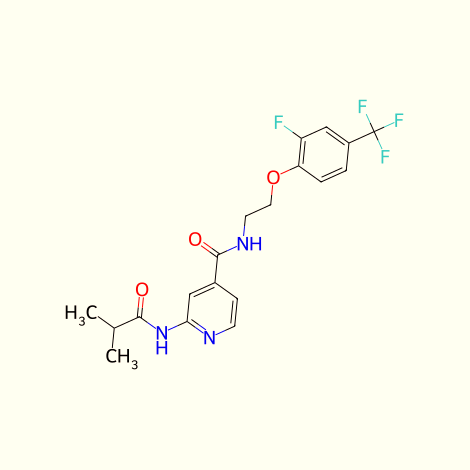 CC(C)C(=O)Nc1cc(C(=O)NCCOc2ccc(C(F)(F)F)cc2F)ccn1